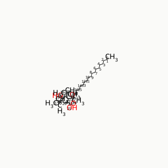 CCCCCCCCCCCCCCCCCCOC(C)c1c(C(=O)O)cc(C(C)(C)C)c(O)c1C(C)(C)C